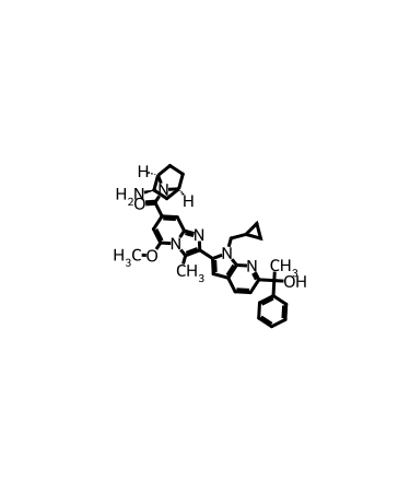 COc1cc(C(=O)N2[C@H]3CC[C@@H]2[C@H](N)C3)cc2nc(-c3cc4ccc(C(C)(O)c5ccccc5)nc4n3CC3CC3)c(C)n12